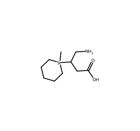 C[Si]1(C(CN)CC(=O)O)CCCCC1